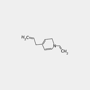 C=CCC1=CCN(C=C)C=C1